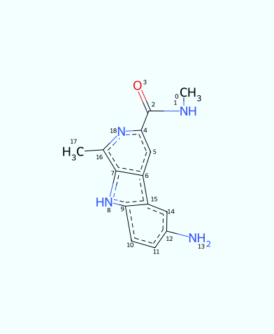 CNC(=O)c1cc2c([nH]c3ccc(N)cc32)c(C)n1